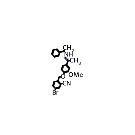 C=C(N/C=C(\C)c1ccc(OCc2ccc(Br)cc2C#N)c(OC)c1)c1ccccc1